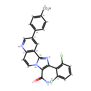 NC(=O)c1c(-c2c(Cl)cccc2Cl)nc2c3cc(-c4ccc(C(=O)O)cc4)cnc3ccn12